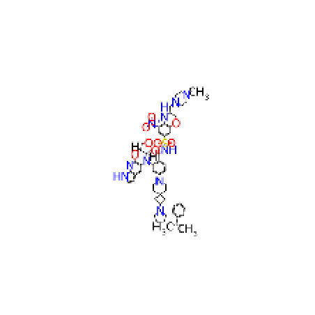 CC(C)c1ccccc1[C@@H]1CCCN1C1CC2(CCN(c3ccc(C(=O)NS(=O)(=O)c4cc5c(c([N+](=O)[O-])c4)N[C@@H](CN4CCN(C)CC4)CO5)c(N4c5cc6cc[nH]c6nc5O[C@@H]5COC[C@H]54)c3)CC2)C1